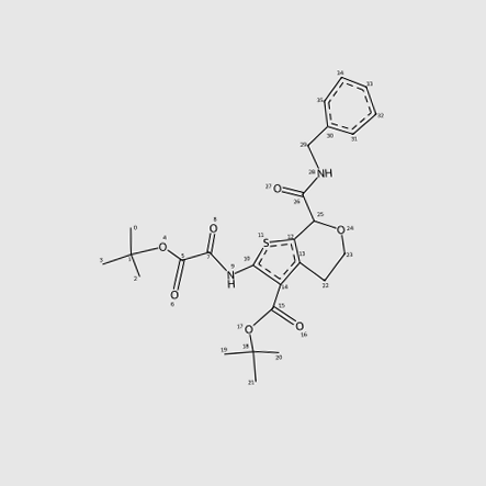 CC(C)(C)OC(=O)C(=O)Nc1sc2c(c1C(=O)OC(C)(C)C)CCOC2C(=O)NCc1ccccc1